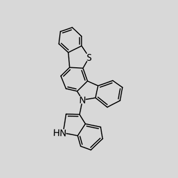 c1ccc2c(-n3c4ccccc4c4c5sc6ccccc6c5ccc43)c[nH]c2c1